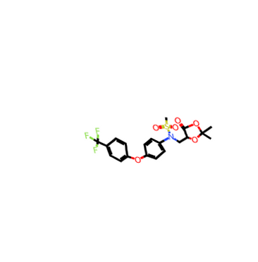 CC1(C)OC(=O)C(CN(c2ccc(Oc3ccc(C(F)(F)F)cc3)cc2)S(C)(=O)=O)O1